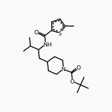 Cc1ccc(C(=O)NC(CC2CCN(C(=O)OC(C)(C)C)CC2)C(C)C)s1